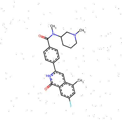 Cc1cc(F)cc2c(=O)[nH]c(-c3ccc(C(=O)N(C)C4CCCN(C)C4)cc3)cc12